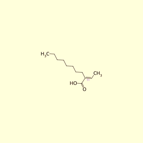 C/C=C(\CCCCCCCC)C(=O)O